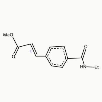 CCNC(=O)c1ccc(/C=C/C(=O)OC)cc1